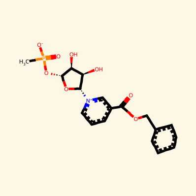 CP(=O)([O-])O[C@H]1O[C@@H]([n+]2cccc(C(=O)OCc3ccccc3)c2)[C@H](O)[C@@H]1O